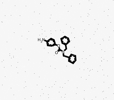 Nc1ccc(OC(=O)N(Cc2ccccc2)Cc2ccccc2)cc1